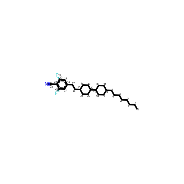 CCCCCCCCC1CCC(C2CCC(CCc3cc(F)c(C#N)c(F)c3)CC2)CC1